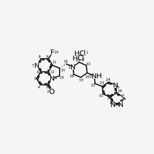 Cl.Cl.O=c1ccc2ncc(F)c3c2n1C[C@H]3CN1CCC(NCc2cnc3snnc3c2)CC1